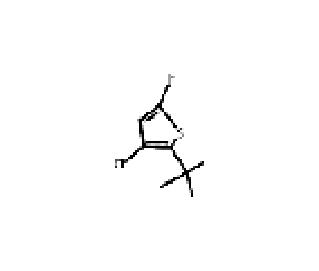 CC(C)(C)c1sc(F)cc1Cl